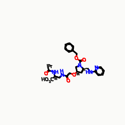 CC(C)C(=O)N[C@@H](CNC(=O)CO[C@@H]1C[C@@H](CNc2ccccn2)N(C(=O)OCc2ccccc2)C1)C(=O)O